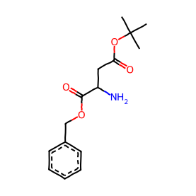 CC(C)(C)OC(=O)CC(N)C(=O)OCc1ccccc1